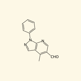 Cc1c(C=O)cnc2c1cnn2-c1ccccc1